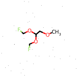 COCC(OCF)OCF